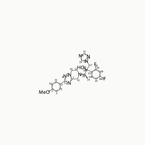 COc1ccc(-c2nc3n(n2)CCN([C@H](C)[C@](O)(Cn2cncn2)c2ccc(F)cc2F)C3)cc1